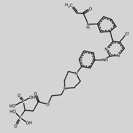 C=CC(=O)Nc1cccc(-c2nc(Nc3cccc(N4CCN(CCOC(=O)CC(P(=O)(O)O)P(=O)(O)O)CC4)c3)ncc2Cl)c1